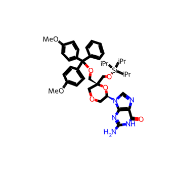 COc1ccc(C(OC[C@]2(CO[Si](C(C)C)(C(C)C)C(C)C)COC[C@H](n3cnc4c(=O)[nH]c(N)nc43)O2)(c2ccccc2)c2ccc(OC)cc2)cc1